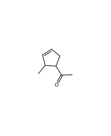 CC(=O)C1CC=CC1C